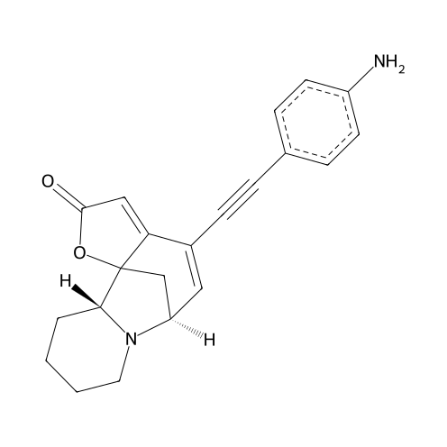 Nc1ccc(C#CC2=C[C@@H]3CC4(OC(=O)C=C24)[C@H]2CCCCN32)cc1